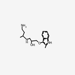 Cc1[nH]c2ccccc2c1OCC(O)CNC(C)CCN